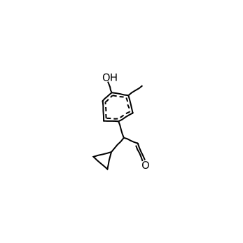 Cc1cc(C(C=O)C2CC2)ccc1O